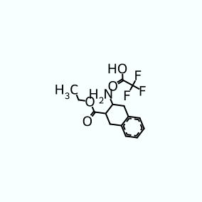 CCOC(=O)C1Cc2ccccc2CC1N.O=C(O)C(F)(F)F